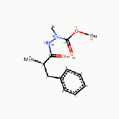 CN[C@H](Cc1ccccc1)C(=O)NN(C)C(=O)OC(C)(C)C